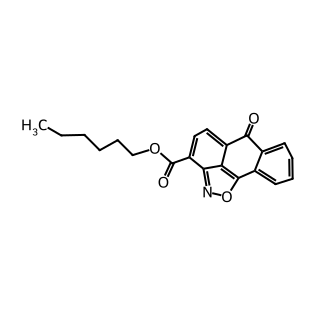 CCCCCCOC(=O)c1ccc2c3c(onc13)-c1ccccc1C2=O